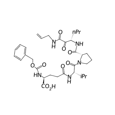 C=CCNC(=O)C(=O)[C@H](CCC)NC(=O)[C@@H]1CCCN1C(=O)[C@@H](NC(=O)CC[C@H](NC(=O)OCc1ccccc1)C(=O)O)C(C)C